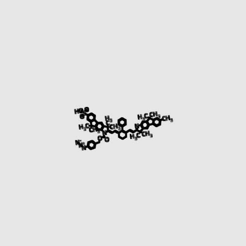 Cc1ccc2c(c1)C(C)(C)c1cc3c(cc1-2)C(C)(C)C(/C=C/C1=C(c2ccccc2)C(=C/C=C2/N(C(=O)OCc4ccc(N=[N+]=[N-])cc4)c4cc5c(cc4C2(C)C)-c2ccc(S(=O)(=O)O)cc2C5(C)C)/CCC1)=N3